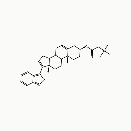 C[C@]12CC[C@H](OC(=O)C[N+](C)(C)C)CC1=CCC1C2CC[C@]2(C)C(c3onc4ccccc34)=CCC12